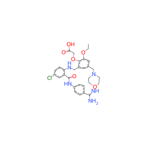 CCOc1cc(CN2CCOCC2)cc(CNc2ccc(Cl)cc2C(=O)Nc2ccc(C(=N)N)cc2)c1OCC(=O)O